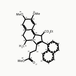 CCOC(=O)C1C(c2cccc3ccccc23)=C(CCC(=O)OC)N2C1=C1C=C(OC)C(OC)C=C1CC2C